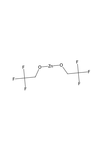 FC(F)(F)C[O][Zn][O]CC(F)(F)F